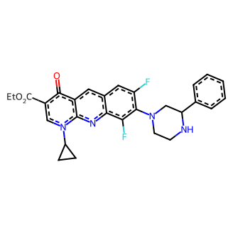 CCOC(=O)c1cn(C2CC2)c2nc3c(F)c(N4CCNC(c5ccccc5)C4)c(F)cc3cc2c1=O